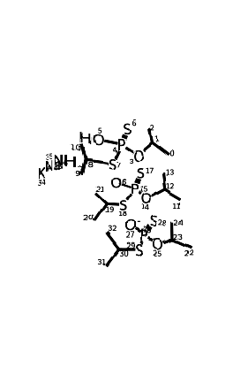 CC(C)OP(O)(=S)SC(C)C.CC(C)OP([O-])(=S)SC(C)C.CC(C)OP([O-])(=S)SC(C)C.N.[K+].[Na+]